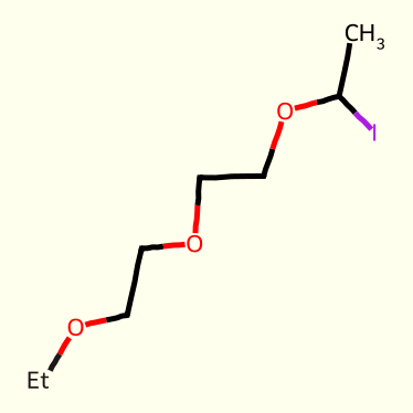 CCOCCOCCOC(C)I